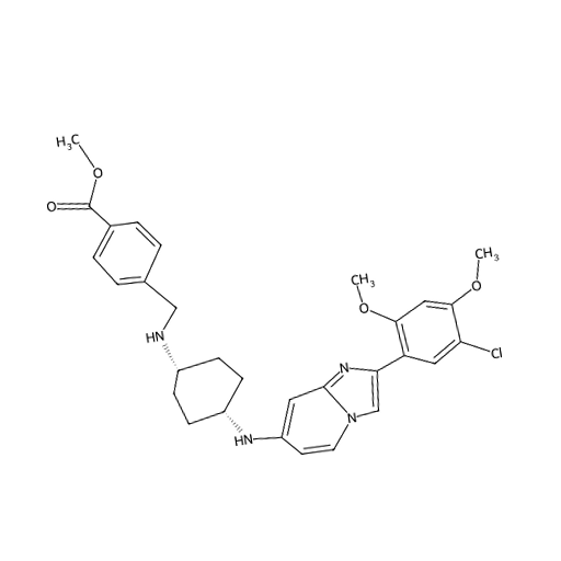 COC(=O)c1ccc(CN[C@H]2CC[C@@H](Nc3ccn4cc(-c5cc(Cl)c(OC)cc5OC)nc4c3)CC2)cc1